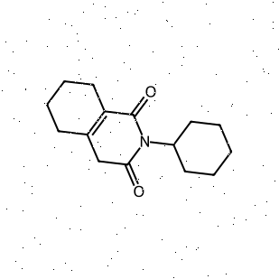 O=C1CC2=C(CCCC2)C(=O)N1C1CCCCC1